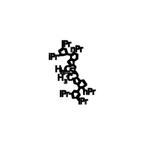 CCCc1ccc2c(c1-c1cc(C(C)C)cc(C(C)C)c1)C=C(C)C2C[SiH2]CC1C(C)=Cc2c1ccc(CCC)c2-c1cc(C(C)C)cc(C(C)C)c1